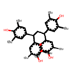 CC(C)(C)c1cc(C(CC(c2cc(C(C)(C)C)c(O)c(C(C)(C)C)c2)c2cc(C(C)(C)C)c(O)c(C(C)(C)C)c2)c2cc(C(C)(C)C)c(O)c(C(C)(C)C)c2)cc(C(C)(C)C)c1O